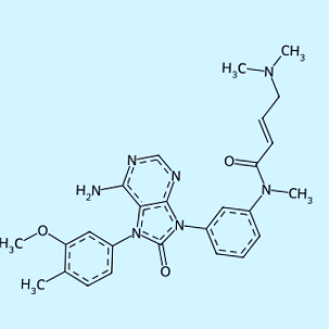 COc1cc(-n2c(=O)n(-c3cccc(N(C)C(=O)/C=C/CN(C)C)c3)c3ncnc(N)c32)ccc1C